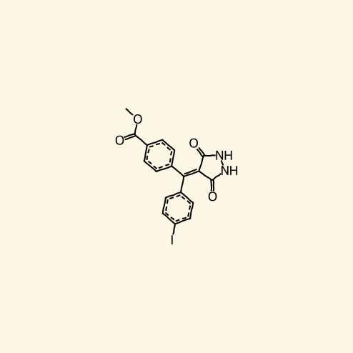 COC(=O)c1ccc(C(=C2C(=O)NNC2=O)c2ccc(I)cc2)cc1